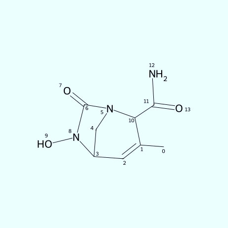 CC1=CC2CN(C(=O)N2O)C1C(N)=O